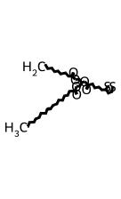 C=CCCCCCCCC(=O)OCC(COC(=O)CCCCCCC/C=C/CCCCCCCC)OC(=O)CCCCC1CCSS1